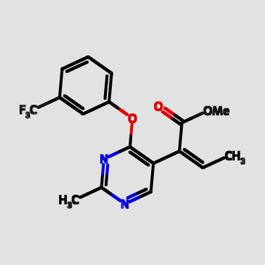 CC=C(C(=O)OC)c1cnc(C)nc1Oc1cccc(C(F)(F)F)c1